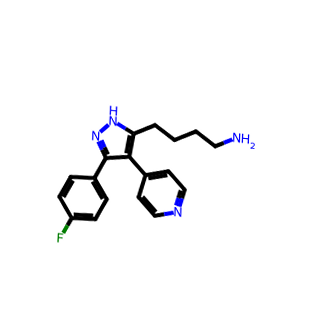 NCCCCc1[nH]nc(-c2ccc(F)cc2)c1-c1ccncc1